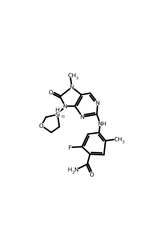 Cc1cc(C(N)=O)c(F)cc1Nc1ncc2c(n1)n([Si@H]1CCOC1)c(=O)n2C